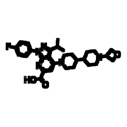 CC(C)c1nn(-c2ccc(F)cc2)c2nc(C(=O)O)cc(N3CCC(C4CCN(C5COC5)CC4)CC3)c12